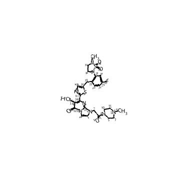 CN1CCN(C(=O)Cn2ccn3c(=O)c(O)c(-c4ncc(Cc5ccc(F)cc5N5CCN(C)S5(=O)=O)s4)nc23)CC1